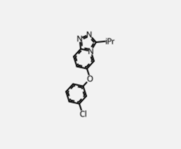 CC(C)c1nnc2ccc(Oc3cccc(Cl)c3)cn12